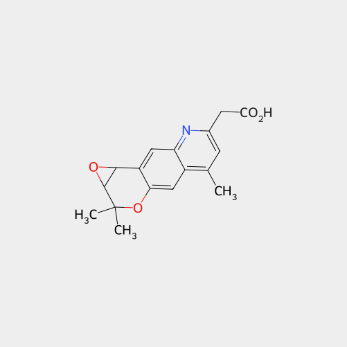 Cc1cc(CC(=O)O)nc2cc3c(cc12)OC(C)(C)C1OC31